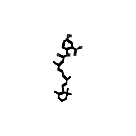 CC(C=CC1=C(C)CCCC1(C)C)=CC=CC(C)=CC(=O)Nc1ccc(O)cc1[N+](=O)[O-]